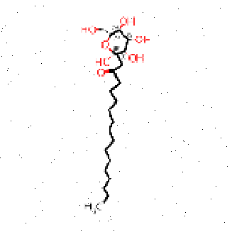 CCCCCCCCCCCCCCC(=O)C[C@@]1(O)O[C@H](CO)[C@@H](O)[C@H](O)[C@@H]1O